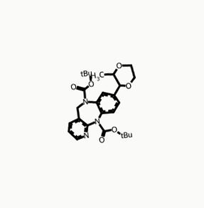 CC1OCCOC1c1ccc2c(c1)N(C(=O)OC(C)(C)C)Cc1cccnc1N2C(=O)OC(C)(C)C